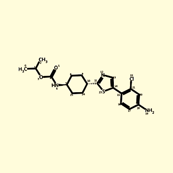 CC(C)OC(=O)N[C@H]1CC[C@H](c2ncc(-c3ccc(N)cc3Cl)s2)CC1